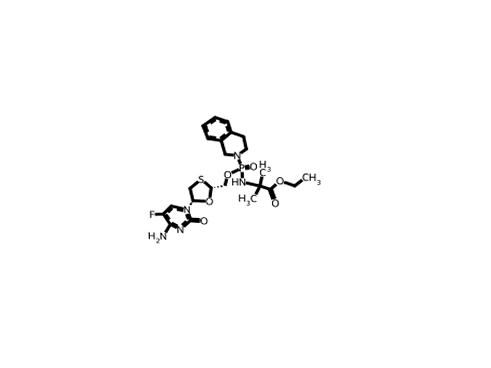 CCOC(=O)C(C)(C)NP(=O)(OC[C@@H]1O[C@H](n2cc(F)c(N)nc2=O)CS1)N1CCc2ccccc2C1